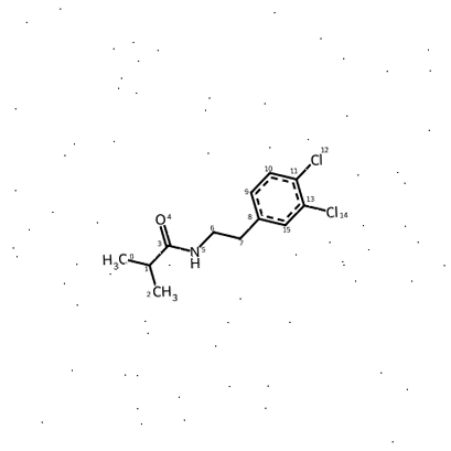 CC(C)C(=O)NCCc1ccc(Cl)c(Cl)c1